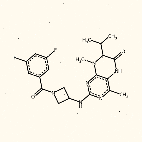 Cc1nc(NC2CN(C(=O)c3cc(F)cc(F)c3)C2)nc2c1NC(=O)C(C(C)C)N2C